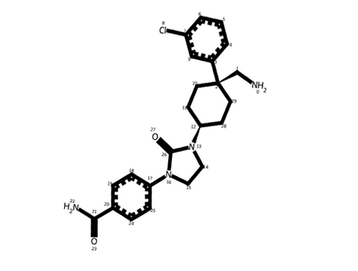 NC[C@]1(c2cccc(Cl)c2)CC[C@H](N2CCN(c3ccc(C(N)=O)cc3)C2=O)CC1